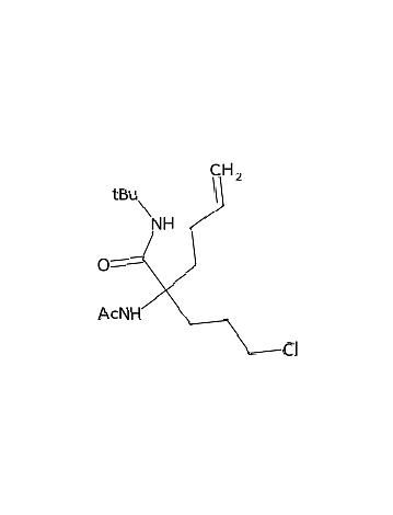 C=CCCC(CCCCl)(NC(C)=O)C(=O)NC(C)(C)C